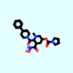 CN1CC(OC(=O)N2CC=CC2)CC(C(=O)NO)C1C(=O)N1CC=C(c2ccccc2)CC1